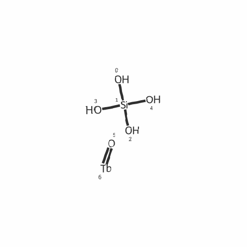 O[Si](O)(O)O.[O]=[Tb]